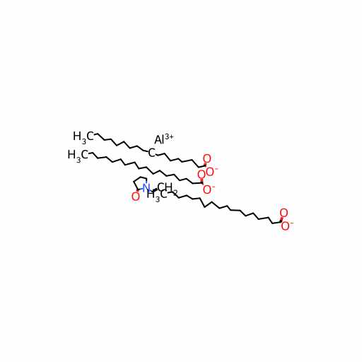 C=CN1CCCC1=O.CCCCCCCCCCCCCCCCCC(=O)[O-].CCCCCCCCCCCCCCCCCC(=O)[O-].CCCCCCCCCCCCCCCCCC(=O)[O-].[Al+3]